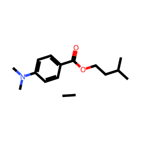 CC.CC(C)CCOC(=O)c1ccc(N(C)C)cc1